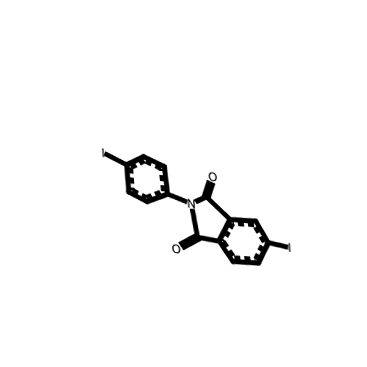 O=C1c2ccc(I)cc2C(=O)N1c1ccc(I)cc1